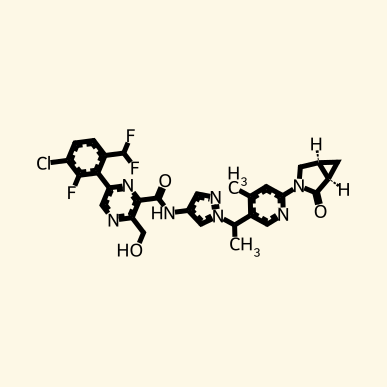 Cc1cc(N2C[C@H]3C[C@H]3C2=O)ncc1C(C)n1cc(NC(=O)c2nc(-c3c(C(F)F)ccc(Cl)c3F)cnc2CO)cn1